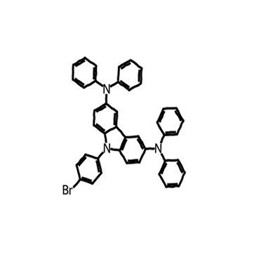 Brc1ccc(-n2c3ccc(N(c4ccccc4)c4ccccc4)cc3c3cc(N(c4ccccc4)c4ccccc4)ccc32)cc1